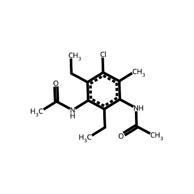 CCc1c(Cl)c(C)c(NC(C)=O)c(CC)c1NC(C)=O